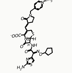 C[n+]1ccc(CN2CCC(=CC3=C(C(=O)[O-])N4C(=O)[C@@H](NC(=O)C(=NOC5CCCC5)c5csc(N)n5)[C@H]4SC3)C2=O)cc1